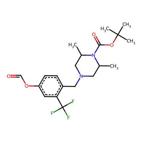 CC1CN(Cc2ccc(OC=O)cc2C(F)(F)F)CC(C)N1C(=O)OC(C)(C)C